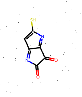 O=c1nc2cc(S)nc-2c1=O